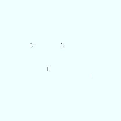 Brc1ncc(I)cn1